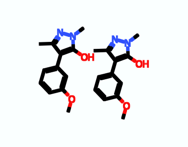 COc1cccc(-c2c(C)nn(C)c2O)c1.COc1cccc(-c2c(C)nn(C)c2O)c1